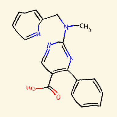 CN(Cc1ccccn1)c1ncc(C(=O)O)c(-c2ccccc2)n1